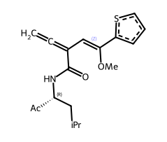 C=C=C(/C=C(\OC)c1cccs1)C(=O)N[C@H](CC(C)C)C(C)=O